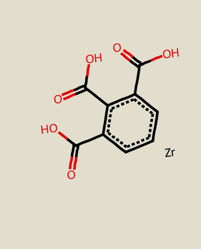 O=C(O)c1cccc(C(=O)O)c1C(=O)O.[Zr]